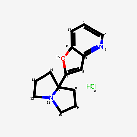 Cl.c1cnc2cc(C34CCCN3CCC4)oc2c1